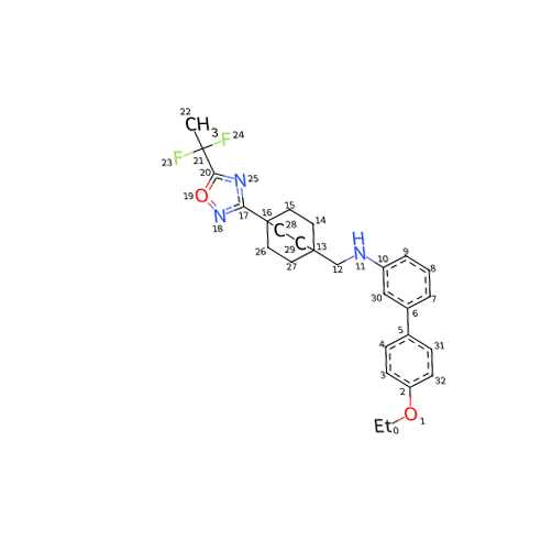 CCOc1ccc(-c2cccc(NCC34CCC(c5noc(C(C)(F)F)n5)(CC3)CC4)c2)cc1